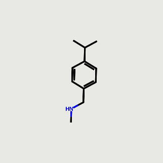 CNCc1ccc(C(C)C)cc1